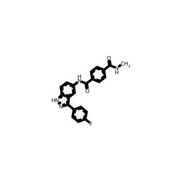 CNC(=O)c1ccc(C(=O)Nc2ccc3[nH]nc(-c4ccc(F)cc4)c3c2)cc1